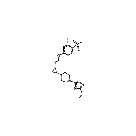 CCc1noc(N2CCC([C@H]3C[C@H]3CCOc3ccc(S(C)(=O)=O)c(F)c3)CC2)n1